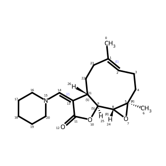 C/C1=C\CC[C@@]2(C)O[C@@H]2[C@H]2OC(=O)/C(=C\N3CCCCC3)[C@@H]2CC1